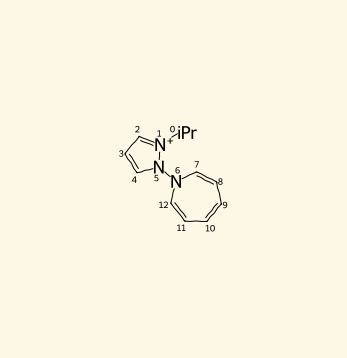 CC(C)[n+]1cccn1N1C=CC=CC=C1